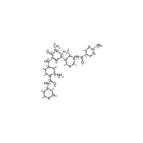 Cc1c(NC(=O)c2ccc(C(C)(C)C)cc2)cccc1-c1cn(C)c(=O)c(Nc2ccc(C(=O)Nc3cccnc3)c(N)c2)n1